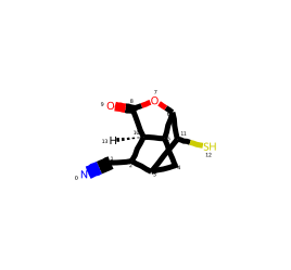 N#CC1C2CC3C(OC(=O)[C@H]13)C2S